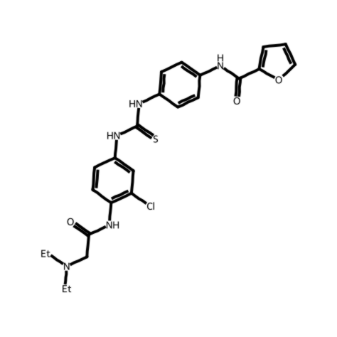 CCN(CC)CC(=O)Nc1ccc(NC(=S)Nc2ccc(NC(=O)c3ccco3)cc2)cc1Cl